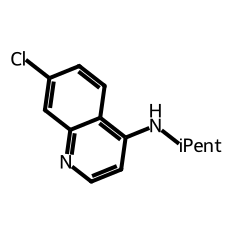 CCCC(C)Nc1ccnc2cc(Cl)ccc12